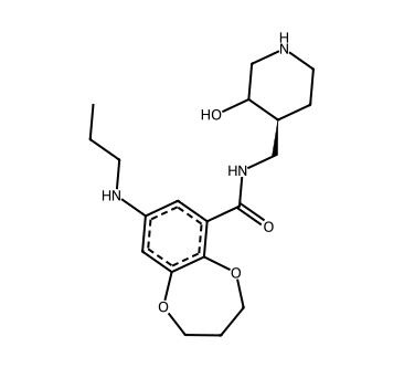 CCCNc1cc2c(c(C(=O)NC[C@@H]3CCNCC3O)c1)OCCCO2